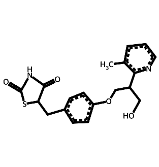 Cc1cccnc1C(CO)COc1ccc(CC2SC(=O)NC2=O)cc1